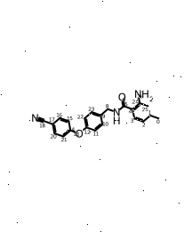 CC/C=C\C(C(=O)NCc1ccc(Oc2ccc(C#N)cc2)cc1)=C(/C)N